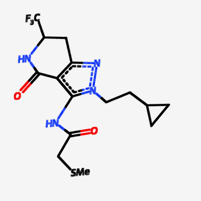 CSCC(=O)Nc1c2c(nn1CCC1CC1)CC(C(F)(F)F)NC2=O